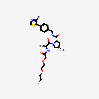 CC(=O)O[C@@H]1C[C@@H](C(=O)NCc2ccc(-c3scnc3C)cc2)N(C(=O)C(NC(=O)COCCOCCO)C(C)(C)C)C1